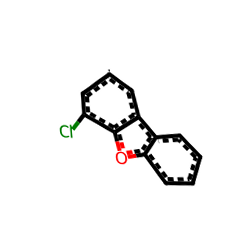 Clc1c[c]cc2c1oc1ccccc12